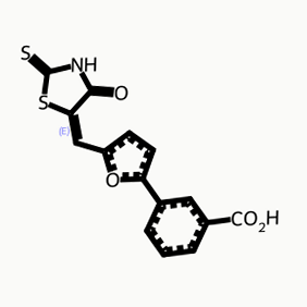 O=C1NC(=S)S/C1=C/c1ccc(-c2cccc(C(=O)O)c2)o1